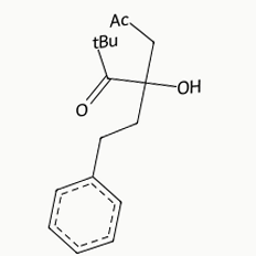 CC(=O)CC(O)(CCc1ccccc1)C(=O)C(C)(C)C